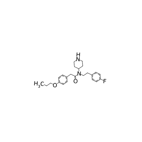 CCCOc1ccc(CC(=O)N(CCc2ccc(F)cc2)C2CCNCC2)cc1